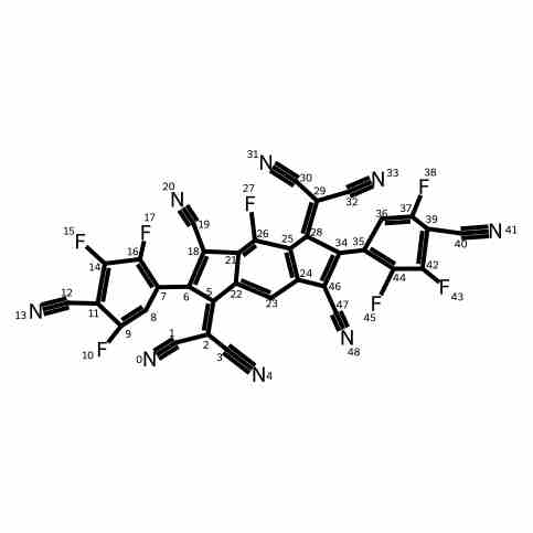 N#CC(C#N)=C1C(c2cc(F)c(C#N)c(F)c2F)=C(C#N)c2c1cc1c(c2F)C(=C(C#N)C#N)C(c2cc(F)c(C#N)c(F)c2F)=C1C#N